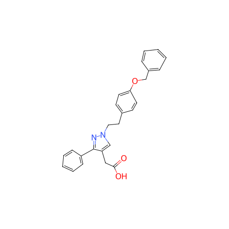 O=C(O)Cc1cn(CCc2ccc(OCc3ccccc3)cc2)nc1-c1ccccc1